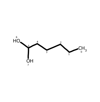 CCCCC[C](O)O